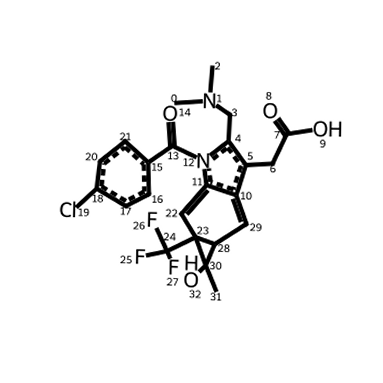 CN(C)Cc1c(CC(=O)O)c2c(n1C(=O)c1ccc(Cl)cc1)=CC1(C(F)(F)F)C(C=2)C1(C)O